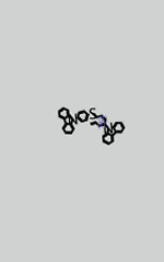 C=C/C=C(\C=C/CSc1ccc(-n2c3ccccc3c3ccccc32)cc1)n1c2ccccc2c2ccccc21